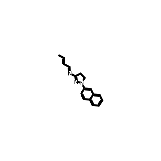 CC=CC=NC1=NN(c2ccc3ccccc3c2)CC1